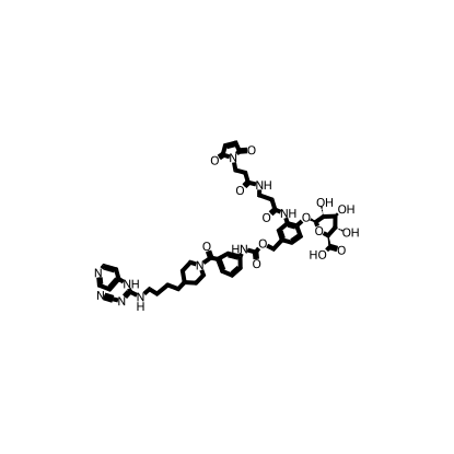 N#C/N=C(/NCCCCC1CCN(C(=O)c2cccc(NC(=O)OCc3ccc(O[C@@H]4O[C@H](C(=O)O)[C@@H](O)[C@H](O)[C@H]4O)c(NC(=O)CCNC(=O)CCN4C(=O)C=CC4=O)c3)c2)CC1)Nc1ccncc1